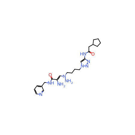 N/C(=C\N(N)CCCCn1cc(NC(=O)CC2CCCC2)nn1)C(=O)NCc1cccnc1